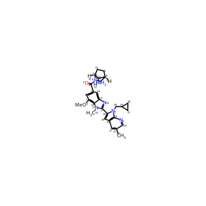 COc1cc(C(=O)N2C[C@H]3CC[C@@H]2[C@@H]3N)cc2nc(-c3cc4cc(C)cnc4n3CC3CC3)n(C)c12